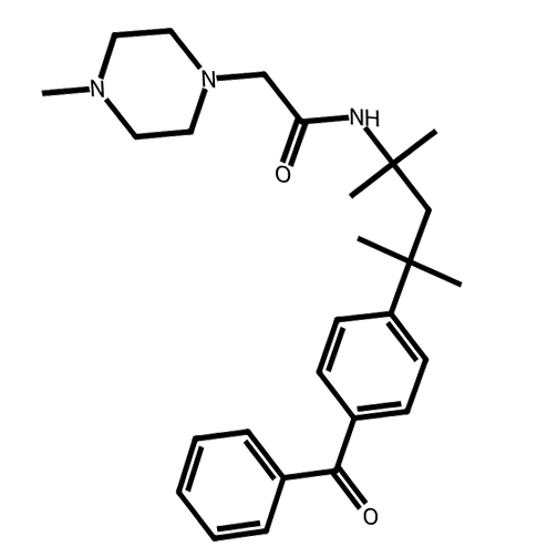 CN1CCN(CC(=O)NC(C)(C)CC(C)(C)c2ccc(C(=O)c3ccccc3)cc2)CC1